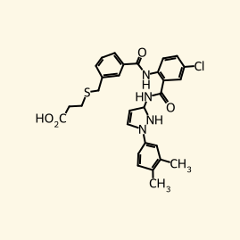 Cc1ccc(N2C=CC(NC(=O)c3cc(Cl)ccc3NC(=O)c3cccc(CSCCC(=O)O)c3)N2)cc1C